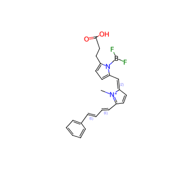 C[N+]1=C(/C=C/C=C/c2ccccc2)C=C/C1=C/c1ccc(CCC(=O)O)n1B(F)F